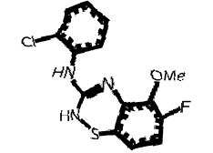 COc1c(F)ccc2c1N=C(Nc1ccccc1Cl)NS2